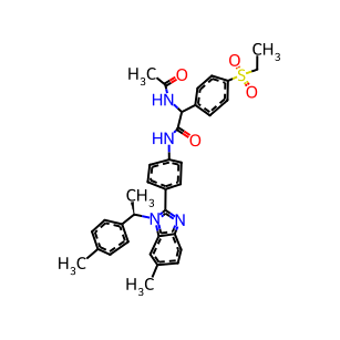 CCS(=O)(=O)c1ccc(C(NC(C)=O)C(=O)Nc2ccc(-c3nc4ccc(C)cc4n3[C@H](C)c3ccc(C)cc3)cc2)cc1